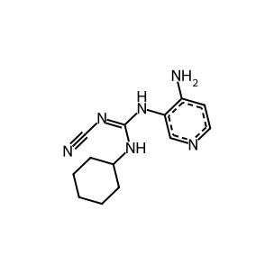 N#C/N=C(/Nc1cnccc1N)NC1CCCCC1